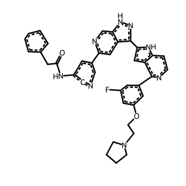 O=C(Cc1ccccc1)Nc1cncc(-c2cc3c(-c4cc5c(-c6cc(F)cc(OCCN7CCCC7)c6)nccc5[nH]4)n[nH]c3cn2)c1